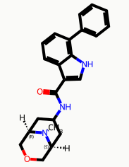 CN1[C@@H]2COC[C@H]1CC(NC(=O)c1c[nH]c3c(-c4ccccc4)cccc13)C2